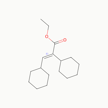 CCOC(=O)/C(=C/C1CCCCC1)C1CCCCC1